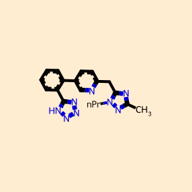 CCCn1nc(C)nc1Cc1ccc(-c2ccccc2-c2nnn[nH]2)cn1